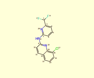 FC(F)c1cccc(Nc2ccc3cccc(Cl)c3n2)n1